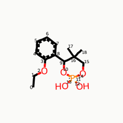 CCOc1ccccc1C1O[P](O)(O)OCC1(C)C